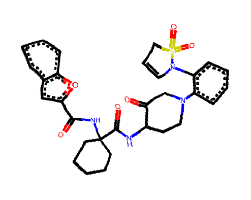 O=C(NC1(C(=O)NC2CCN(c3ccccc3N3C=CCS3(=O)=O)CC2=O)CCCCC1)c1cc2ccccc2o1